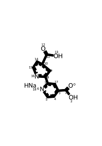 O=C(O)c1ccnc(-c2cc(C(=O)O)ccn2)c1.[NaH]